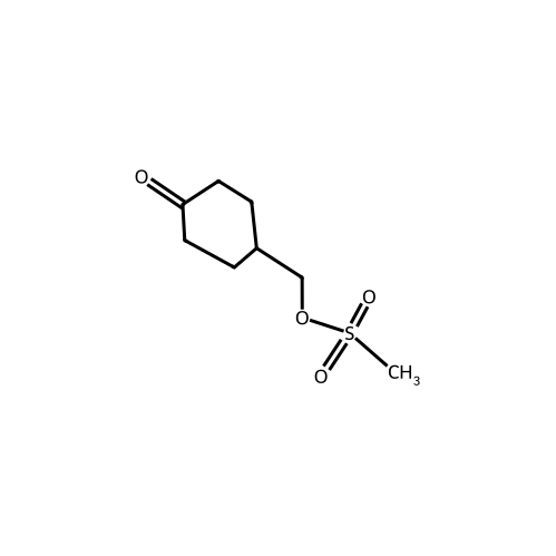 CS(=O)(=O)OCC1CCC(=O)CC1